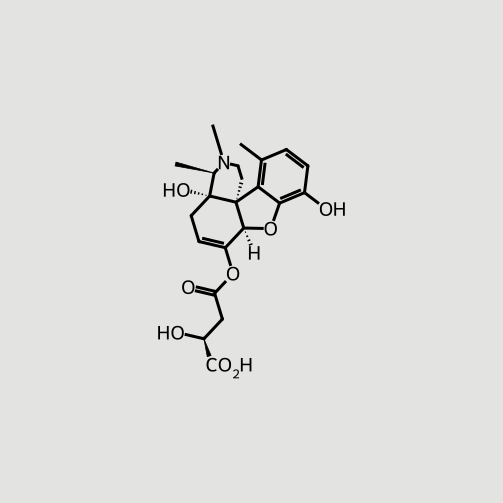 Cc1ccc(O)c2c1[C@]13CCN(C)[C@H](C)[C@]1(O)CC=C(OC(=O)C[C@H](O)C(=O)O)[C@@H]3O2